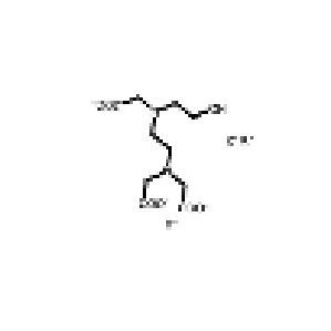 O=C([O-])CN(CCO)CCN(CC(=O)[O-])CC(=O)[O-].[K+].[K+].[K+]